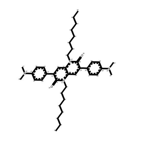 CCCCCCCCn1c(=O)c(-c2ccc(N(C)C)cc2)cc2c1cc(-c1ccc(N(C)C)cc1)c(=O)n2CCCCCCCC